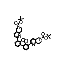 CC(C)(C)OC(=O)N1CCc2nc(-c3cccc(-c4cccc(-c5ccc6c(n5)CCN(C(=O)OC(C)(C)C)C6)c4Cl)c3Cl)ccc2C1